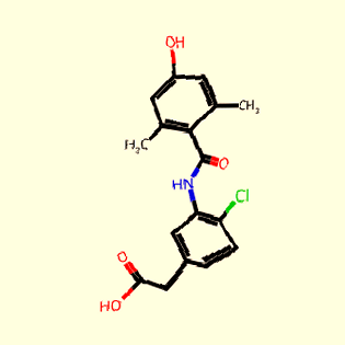 Cc1cc(O)cc(C)c1C(=O)Nc1cc(CC(=O)O)ccc1Cl